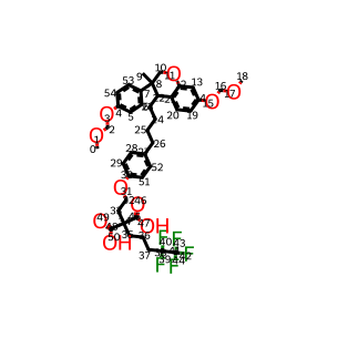 COCOc1ccc(C2(C)COc3cc(OCOC)ccc3C2CCCCc2ccc(OCCC(CCCC(F)(F)C(F)(F)F)(C(=O)O)C(=O)O)cc2)cc1